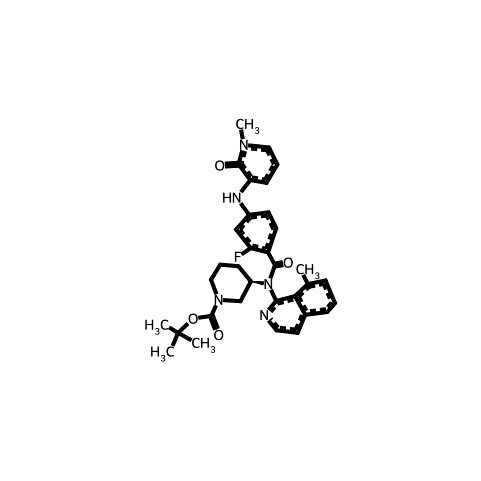 Cc1cccc2ccnc(N(C(=O)c3ccc(Nc4cccn(C)c4=O)cc3F)[C@@H]3CCCN(C(=O)OC(C)(C)C)C3)c12